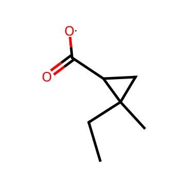 CCC1(C)CC1C([O])=O